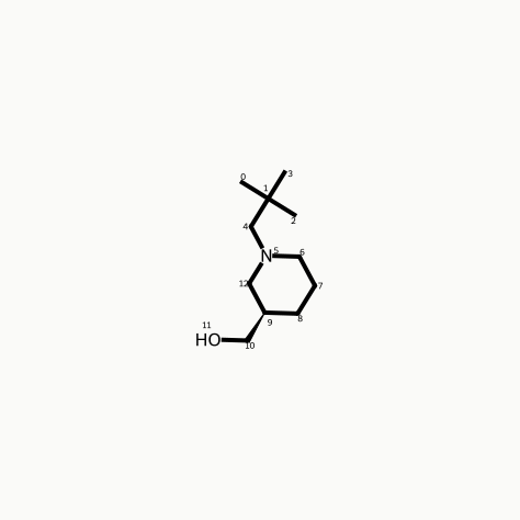 CC(C)(C)CN1CCC[C@@H](CO)C1